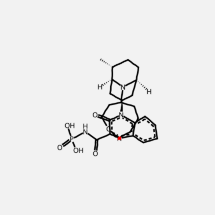 C[C@@H]1CC[C@H]2C[C@@H](n3c(=O)c(C(=O)NP(=O)(O)O)nc4ccccc43)C[C@@H]1N2C1CCCCCCC1